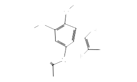 COc1ccc(NC(C)=O)cc1OC.FC(F)=CBr